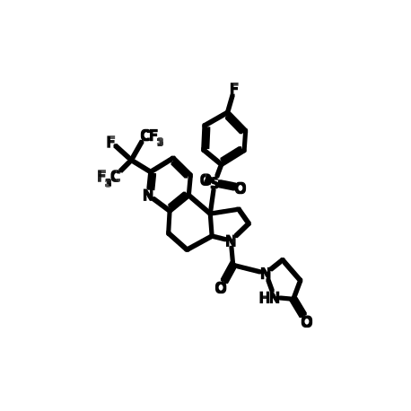 O=C1CCN(C(=O)N2CCC3(S(=O)(=O)c4ccc(F)cc4)c4ccc(C(F)(C(F)(F)F)C(F)(F)F)nc4CCC23)N1